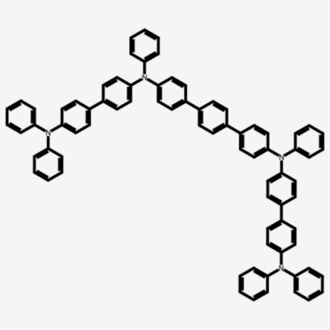 c1ccc(N(c2ccccc2)c2ccc(-c3ccc(N(c4ccccc4)c4ccc(-c5ccc(-c6ccc(N(c7ccccc7)c7ccc(-c8ccc(N(c9ccccc9)c9ccccc9)cc8)cc7)cc6)cc5)cc4)cc3)cc2)cc1